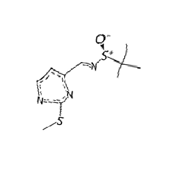 CSc1nccc(C=N[S@@+]([O-])C(C)(C)C)n1